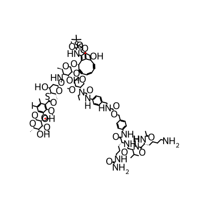 CCN(C(=O)Nc1ccc(CNC(=O)OCc2ccc(NC(=O)[C@@H](CCCNC(N)=O)NC(=O)[C@H](NC(=O)[C@@H](CCCCN)NC(C)=O)C(C)C)cc2)cc1)[C@H]1CO[C@@H](O[C@H]2[C@H](O[C@H]3C#CC=CC#C[C@]4(O)CC(=O)C(NC(=O)OC)=C3/C4=C\CSSC(C)(C)C)O[C@H](C)[C@@H](NO[C@H]3C[C@H](O)[C@H](SC(=O)c4c(C)c(I)c(O[C@@H]5O[C@@H](C)[C@H](O)[C@@H](OC)[C@H]5O)c(OC)c4OC)[C@@H](C)O3)[C@@H]2O)C[C@@H]1OC